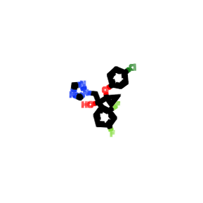 OC(Cn1cncn1)(c1ccc(F)cc1F)C1(Oc2ccc(Cl)cc2)CC1